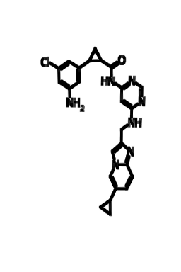 Nc1cc(Cl)cc(C2CC2C(=O)Nc2cc(NCc3cn4cc(C5CC5)ccc4n3)ncn2)c1